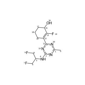 Cc1nc(NC(CF)CF)nc(C2=C(F)C(O)CCC2)n1